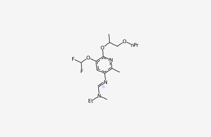 CCCOCC(C)Oc1nc(C)c(/N=C/N(C)CC)cc1OC(F)F